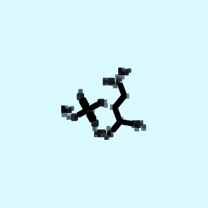 NC(CCC(=O)O)C(=O)O.O=S(=O)([O-])[O-].[Na+].[Na+]